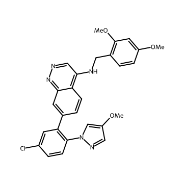 COc1ccc(CNc2cnnc3cc(-c4cc(Cl)ccc4-n4cc(OC)cn4)ccc23)c(OC)c1